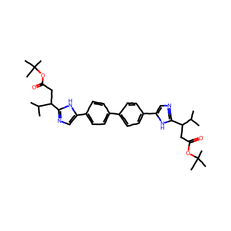 CC(C)C(CC(=O)OC(C)(C)C)c1ncc(-c2ccc(-c3ccc(-c4cnc(C(CC(=O)OC(C)(C)C)C(C)C)[nH]4)cc3)cc2)[nH]1